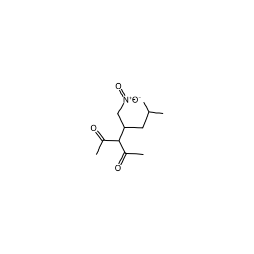 CC(=O)C(C(C)=O)C(CC(C)C)C[N+](=O)[O-]